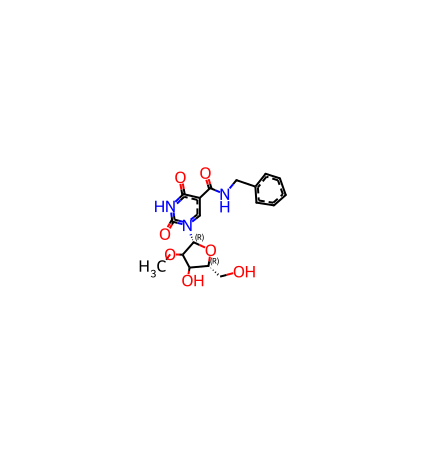 COC1C(O)[C@@H](CO)O[C@H]1n1cc(C(=O)NCc2ccccc2)c(=O)[nH]c1=O